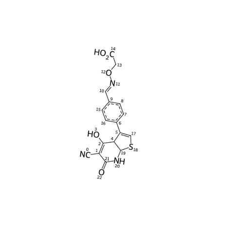 N#CC1=C(O)C2C(c3ccc(C=NOCC(=O)O)cc3)=CSC2NC1=O